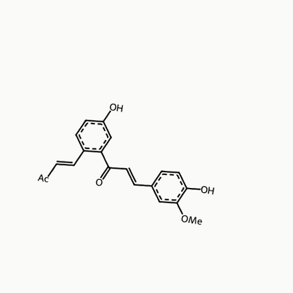 COc1cc(C=CC(=O)c2cc(O)ccc2C=CC(C)=O)ccc1O